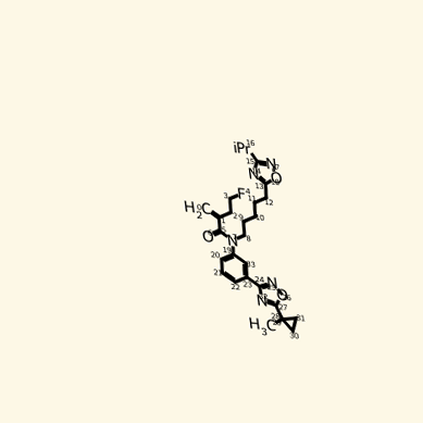 C=C(CCF)C(=O)N(CCCCCc1nc(C(C)C)no1)c1cccc(-c2noc(C3(C)CC3)n2)c1